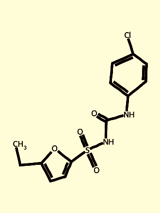 CCc1ccc(S(=O)(=O)NC(=O)Nc2ccc(Cl)cc2)o1